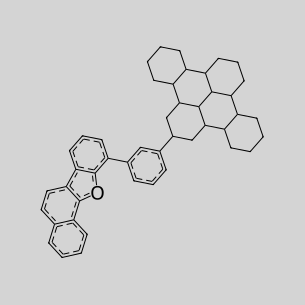 c1cc(-c2cccc3c2oc2c4ccccc4ccc32)cc(C2CC3C4CCCCC4C4CCCC5C6CCCCC6C(C2)C3C45)c1